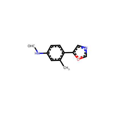 Cc1cc(NC=O)ccc1-c1cnco1